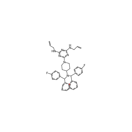 C=CCNc1nc(NCC=C)nc(N2CCC(N(C(c3ccccc3)c3ccc(F)cc3)C(c3ccccc3)c3ccc(F)cc3)CC2)n1